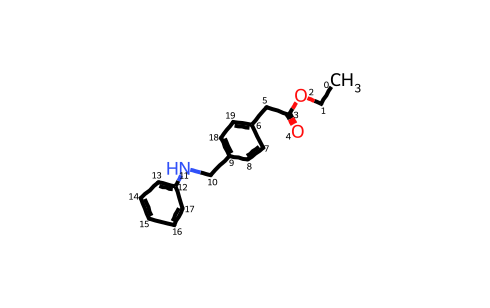 CCOC(=O)Cc1ccc(CNc2ccccc2)cc1